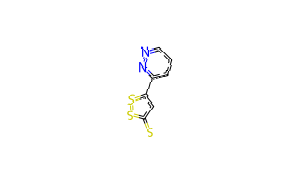 S=c1cc(-c2cccnn2)ss1